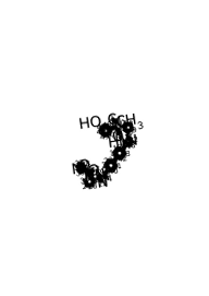 CN(C(=O)O)[C@@H](C(=O)N1CCC[C@H]1c1ncc(-c2ccc(-c3ccc(-c4cnc([C@@H]5CCCN5C(=O)c5cnco5)[nH]4)cc3)cc2)[nH]1)c1ccccc1